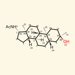 CC(=O)N[C@H]1CC[C@H]2[C@@H]3CC[C@H]4C[C@](C)(O)CC[C@]4(C)[C@H]3CC[C@]12C